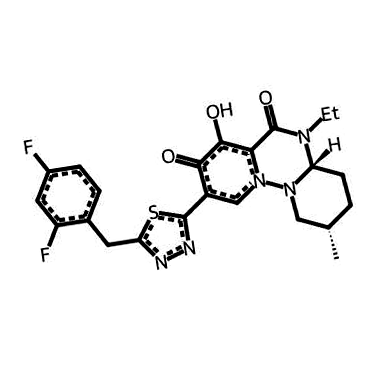 CCN1C(=O)c2c(O)c(=O)c(-c3nnc(Cc4ccc(F)cc4F)s3)cn2N2C[C@@H](C)CC[C@@H]12